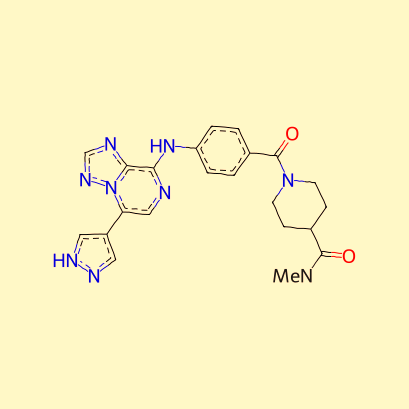 CNC(=O)C1CCN(C(=O)c2ccc(Nc3ncc(-c4cn[nH]c4)n4ncnc34)cc2)CC1